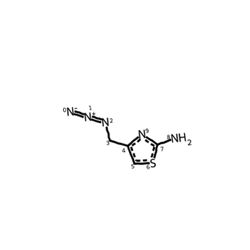 [N-]=[N+]=NCc1csc(N)n1